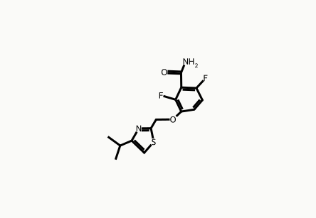 CC(C)c1csc(COc2ccc(F)c(C(N)=O)c2F)n1